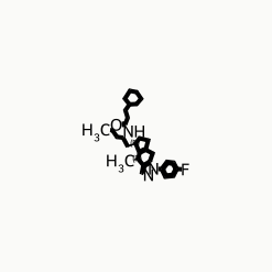 CCCC(C[C@H]1CCC2=C1[C@@H](C)c1cnn(-c3ccc(F)cc3)c1C2)NC(=O)CCC1CCCCC1